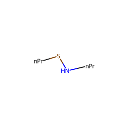 CCCNSCCC